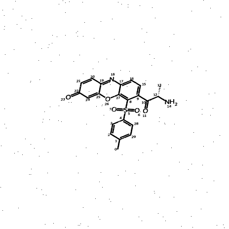 Cc1ccc(S(=O)(=O)c2c(C(=O)[C@H](C)N)ccc3nc4ccc(=O)cc-4oc23)cc1